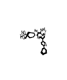 CC(=O)c1c(N)n2ncc(-c3ccc(-c4ccccc4)nc3)c2nc1[C@H]1CC[C@](O)(CO)CC1